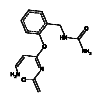 C=C(Cl)/N=C(\C=C/N)Oc1ccccc1CNC(N)=O